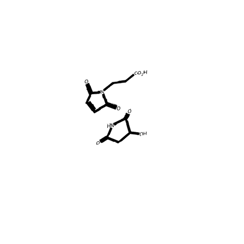 O=C(O)CCN1C(=O)C=CC1=O.O=C1CC(O)C(=O)N1